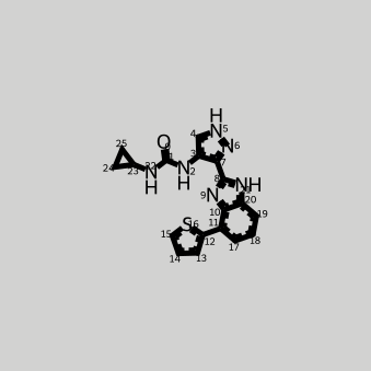 O=C(Nc1c[nH]nc1-c1nc2c(-c3cccs3)cccc2[nH]1)NC1CC1